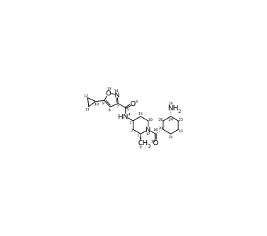 C[C@H]1CC(NC(=O)c2cc(C3CC3)on2)CCN1C(=O)[C@H]1CCC[C@@H](N)C1